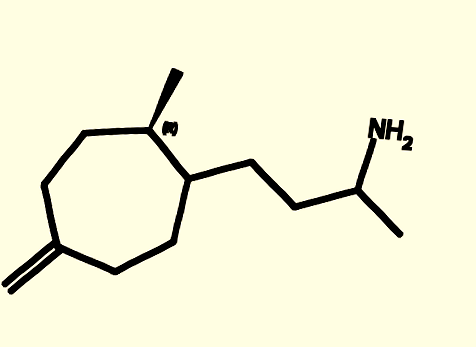 C=C1CCC(CCC(C)N)[C@H](C)CC1